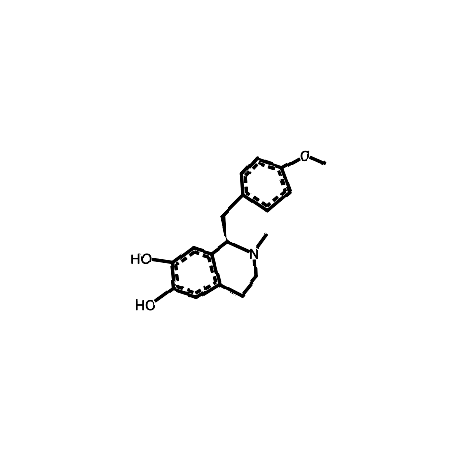 COc1ccc(C[C@@H]2c3cc(O)c(O)cc3CCN2C)cc1